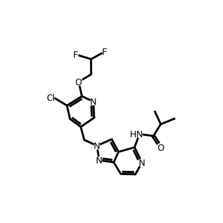 CC(C)C(=O)Nc1nccc2nn(Cc3cnc(OCC(F)F)c(Cl)c3)cc12